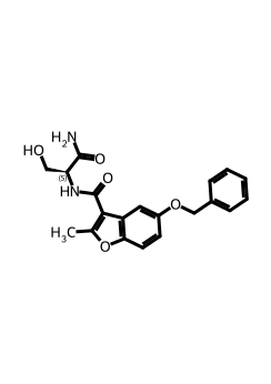 Cc1oc2ccc(OCc3ccccc3)cc2c1C(=O)N[C@@H](CO)C(N)=O